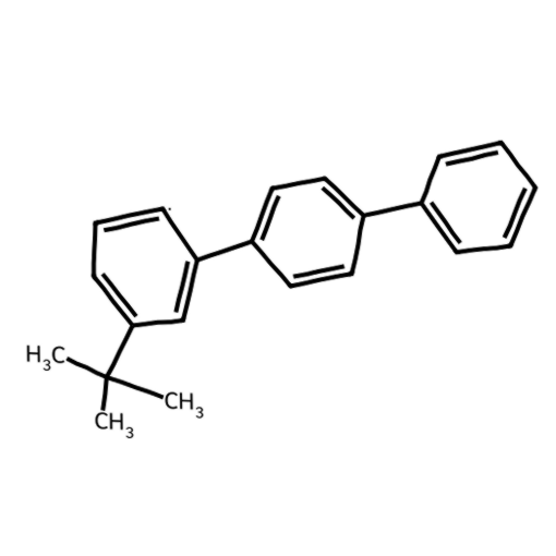 CC(C)(C)c1cc[c]c(-c2ccc(-c3ccccc3)cc2)c1